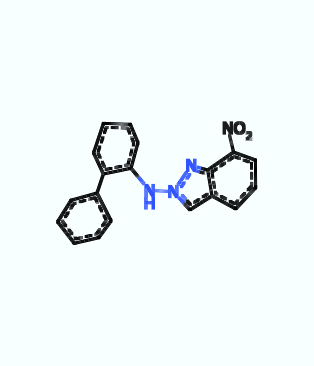 O=[N+]([O-])c1cccc2cn(Nc3ccccc3-c3ccccc3)nc12